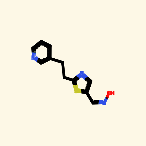 O/N=C\c1cnc(CCc2cccnc2)s1